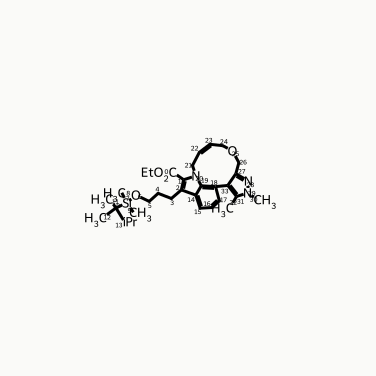 CCOC(=O)c1c(CCCO[Si](C)(C)C(C)(C)C(C)C)c2cccc3c2n1C/C=C\COCc1nn(C)c(C)c1-3